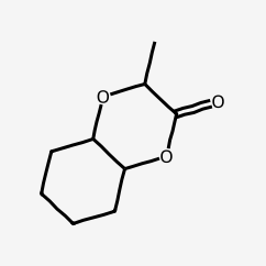 CC1OC2CCCCC2OC1=O